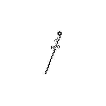 CCCCCCCCCCCCCCCCCCNC(=O)SCC(COCc1ccccc1)OC